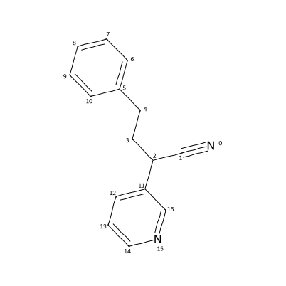 N#CC(CCc1ccccc1)c1cccnc1